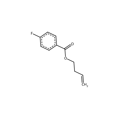 C=CCCOC(=O)c1ccc(F)cc1